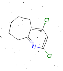 Clc1cc(Cl)c2c(n1)CCCCC2